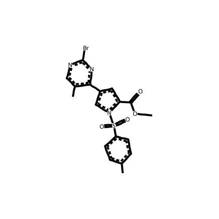 COC(=O)c1cc(-c2nc(Br)ncc2C)cn1S(=O)(=O)c1ccc(C)cc1